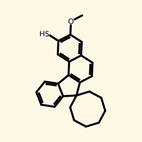 COc1cc2ccc3c(c2cc1S)-c1ccccc1C31CCCCCCC1